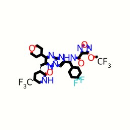 O=C(N[C@H](c1cn2nc(C[C@H]3C[C@@H](C(F)(F)F)CNC3=O)c(C3CCOCC3)nc2n1)C1CCC(F)(F)CC1)c1nonc1OCC(F)(F)F